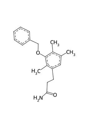 Cc1cc(CCC(N)=O)c(C)c(OCc2ccccc2)c1C